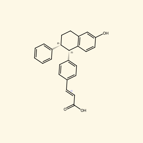 O=C(O)/C=C/c1ccc([C@H]2c3ccc(O)cc3CC[C@H]2c2ccccc2)cc1